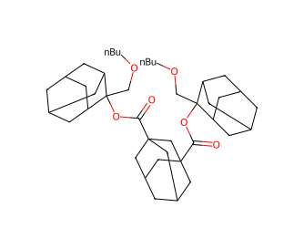 CCCCOCC1(OC(=O)C23CC4CC(C2)CC(C(=O)OC2(COCCCC)C5CC6CC(C5)CC2C6)(C4)C3)C2CC3CC(C2)CC1C3